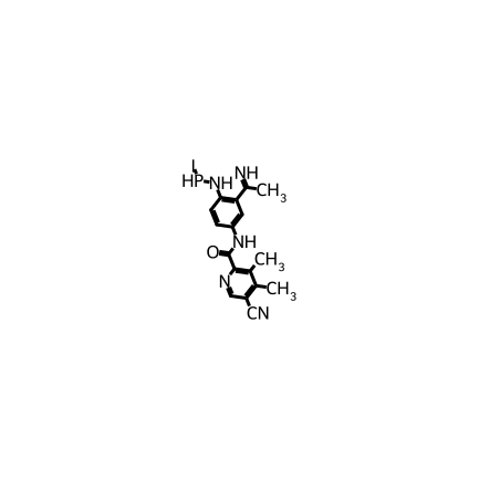 CC(=N)c1cc(NC(=O)c2ncc(C#N)c(C)c2C)ccc1NPI